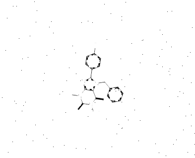 C=C1c2c(nc(-c3ccc(F)cc3)n2Cc2ccccc2)N(C)C(=C)N1CCC